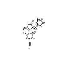 CC#Cc1cc(C)c(C2C(=O)CC(Cc3ccccn3)C2=O)c(C)c1